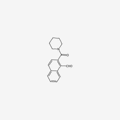 O=Cc1c(C(=O)N2CCCCC2)ccc2ccccc12